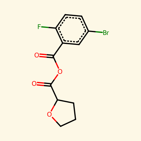 O=C(OC(=O)C1CCCO1)c1cc(Br)ccc1F